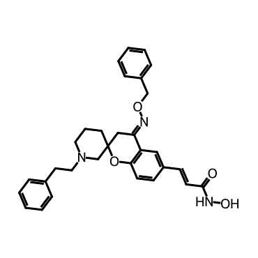 O=C(/C=C/c1ccc2c(c1)C(=NOCc1ccccc1)CC1(CCCN(CCc3ccccc3)C1)O2)NO